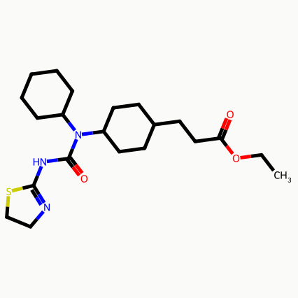 CCOC(=O)CCC1CCC(N(C(=O)NC2=NCCS2)C2CCCCC2)CC1